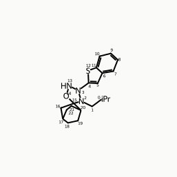 CC(C)CN1N(c2cc3ccccc3s2)NOC12CC1CCC2CC1